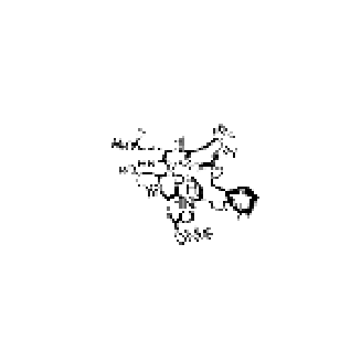 CC[C@H](C)[C@H](NC(=O)OCc1ccccc1)C(=O)N[C@@H](CCC(=O)OC)C(=O)N[C@H](C(=O)N[C@@H](CC(=O)OC)C(=O)N[C@H](CS)C(=O)O)[C@@H](C)O